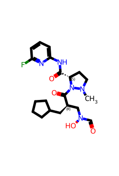 CN1CC[C@@H](C(=O)Nc2cccc(F)n2)N1C(=O)[C@H](CC1CCCC1)CN(O)C=O